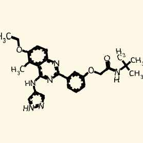 CCOc1ccc2nc(-c3cccc(OCC(=O)NC(C)(C)C)c3)nc(Nc3cn[nH]c3)c2c1C